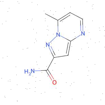 Cc1ccnc2cc(C(N)=O)nn12